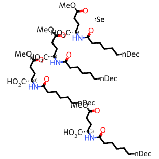 CCCCCCCCCCCCCCCC(=O)N[C@@H](CCC(=O)OC)C(=O)O.CCCCCCCCCCCCCCCC(=O)N[C@@H](CCC(=O)OC)C(=O)O.CCCCCCCCCCCCCCCC(=O)N[C@@H](CCC(=O)OC)C(=O)O.CCCCCCCCCCCCCCCC(=O)N[C@@H](CCC(=O)OC)C(=O)O.[Se]